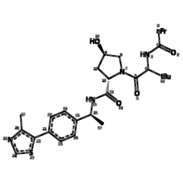 CCCC(=O)NC(C(=O)N1C[C@H](O)C[C@H]1C(=O)N[C@@H](C)c1ccc(-c2scnc2C)cc1)C(C)(C)C